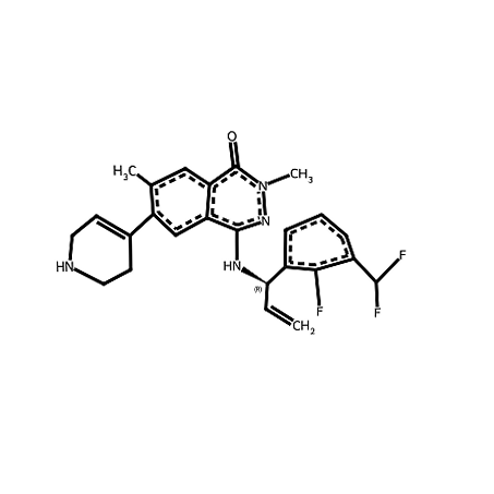 C=C[C@@H](Nc1nn(C)c(=O)c2cc(C)c(C3=CCNCC3)cc12)c1cccc(C(F)F)c1F